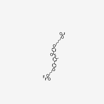 C=CC(=O)OCCCCCCOc1ccc(C(=O)Sc2ccc(-c3ccc(OCCCCOC(=O)C(=C)F)cc3)cc2C)cc1